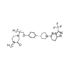 C[C@@H](COc1ccc(C2CCN(c3ccc4nnc(C(F)(F)F)n4n3)CC2)cc1)N1CCN(C)C(=O)C1